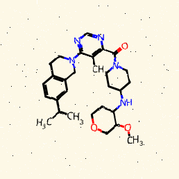 COC1COCCC1NC1CCN(C(=O)c2ncnc(N3CCc4ccc(C(C)C)cc4C3)c2C)CC1